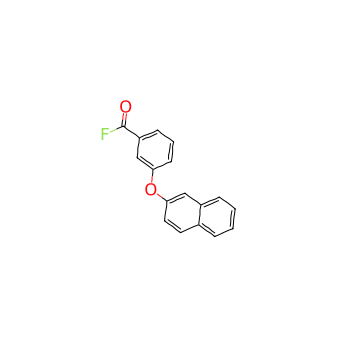 O=C(F)c1cccc(Oc2ccc3ccccc3c2)c1